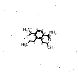 CCCc1c(C(N)=O)ccc(C(N)=O)c1CCC